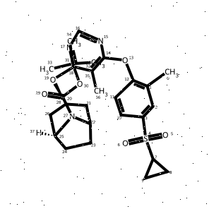 Cc1cc(S(=O)(=O)C2CC2)ccc1Oc1ncnc(O[C@H]2CC3CC[C@@H](C2)N3C(=O)OC(C)(C)C)c1C